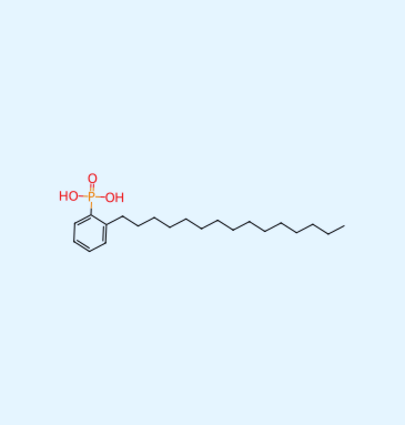 CCCCCCCCCCCCCCCc1ccccc1P(=O)(O)O